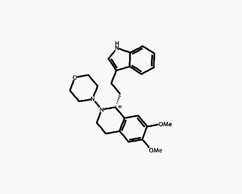 COc1cc2c(cc1OC)[C@@H](CCc1c[nH]c3ccccc13)N(N1CCOCC1)CC2